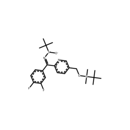 CC(C)(C)[S+]([O-])N=C(c1ccc(F)c(F)c1)c1ccc(CO[Si](C)(C)C(C)(C)C)cn1